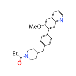 CCC(=O)N1CCC(Cc2ccc(-c3cc4ncccc4cc3OC)cc2)CC1